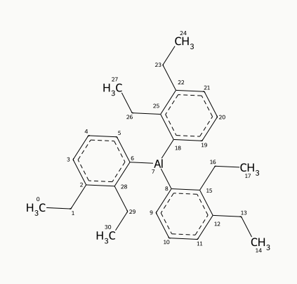 CCc1ccc[c]([Al]([c]2cccc(CC)c2CC)[c]2cccc(CC)c2CC)c1CC